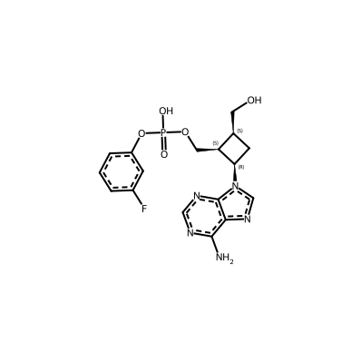 Nc1ncnc2c1ncn2[C@@H]1C[C@H](CO)[C@@H]1COP(=O)(O)Oc1cccc(F)c1